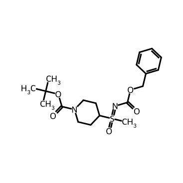 CC(C)(C)OC(=O)N1CCC(S(C)(=O)=NC(=O)OCc2ccccc2)CC1